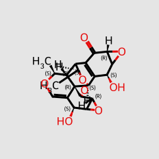 C[C@@H]1O[C@H]2C3=C(C(=O)[C@@H]4OC4[C@H]3O)C1[C@H]1[C@H](C)OC=C3[C@H](O)C4O[C@H]4C(=O)[C@]321